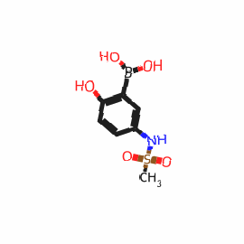 CS(=O)(=O)Nc1ccc(O)c(B(O)O)c1